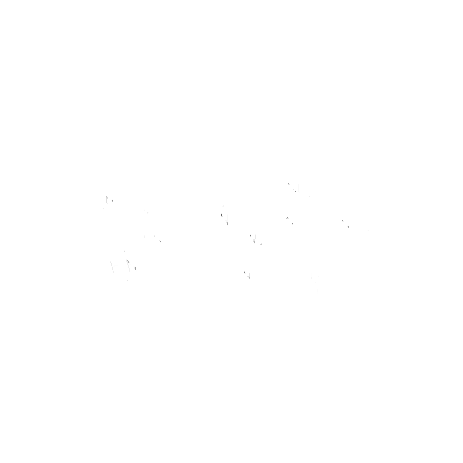 NC(=O)N(N)c1cnn(N(N)C(N)=O)n1